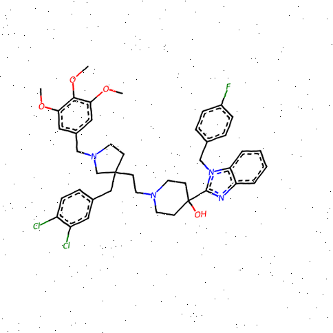 COc1cc(CN2CCC(CCN3CCC(O)(c4nc5ccccc5n4Cc4ccc(F)cc4)CC3)(Cc3ccc(Cl)c(Cl)c3)C2)cc(OC)c1OC